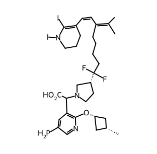 CC(C)=C(/C=C\C1=C(I)N(I)CCC1)CCCCC(F)(F)[C@@H]1CCN(C(C(=O)O)c2cc(P)cnc2O[C@H]2C[C@@H](C)C2)C1